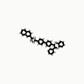 c1ccc(-c2nc3ccccc3nc2-c2ccc(-c3ccc(-c4nnc(-c5ccc6ccccc6c5)o4)cc3)cc2)cc1